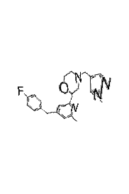 Cc1cc(Cc2ccc(F)cc2)cc(C2CN(Cc3cnn(C)c3)CCO2)n1